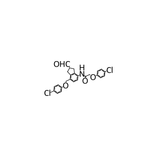 O=CC1Cc2c(COc3ccc(Cl)cc3)ccc(NC(=O)COc3ccc(Cl)cc3)c2C1